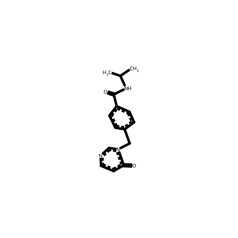 CC(C)NC(=O)c1ccc(Cn2cnccc2=O)cc1